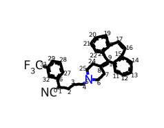 N#CC(CCCN1CCC(=C2c3ccccc3C=Cc3ccccc32)CC1)c1cccc(C(F)(F)F)c1